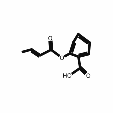 CC=CC(=O)Oc1ccccc1C(=O)O